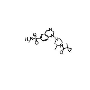 CC1CN(N2CN=Cc3cc(S(N)(=O)=O)ccc32)CCN1C(=O)C1(C)CC1